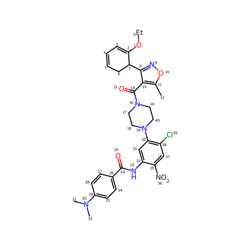 CCOC1=CC=CCC1c1noc(C)c1C(=O)N1CCN(c2cc(NC(=O)c3ccc(N(C)C)cc3)c([N+](=O)[O-])cc2Cl)CC1